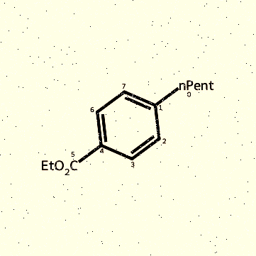 CCC[CH]Cc1ccc(C(=O)OCC)cc1